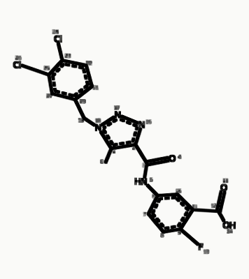 Cc1c(C(=O)Nc2ccc(F)c(C(=O)O)c2)nnn1Cc1ccc(Cl)c(Cl)c1